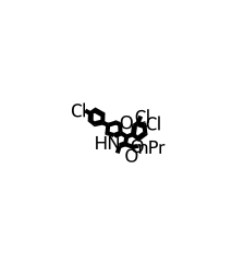 CCCOC(=O)C1=C(C)NC2=C(C(=O)CC(c3ccc(Cl)cc3)C2)C1c1ccc(Cl)c(Cl)c1